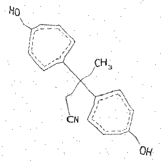 CC(CC#N)(c1ccc(O)cc1)c1ccc(O)cc1